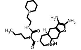 CCCCN(C(=O)NCCN1CCCCC1)C(=O)[C@H]1CN[C@@H]2Cc3sc(N)c(N)c3C[C@H]2C1